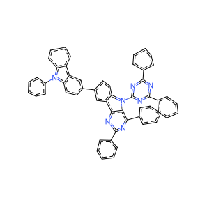 c1ccc(-c2nc(-c3ccccc3)nc(-n3c4ccc(-c5ccc6c(c5)c5ccccc5n6-c5ccccc5)cc4c4nc(-c5ccccc5)nc(-c5ccccc5)c43)n2)cc1